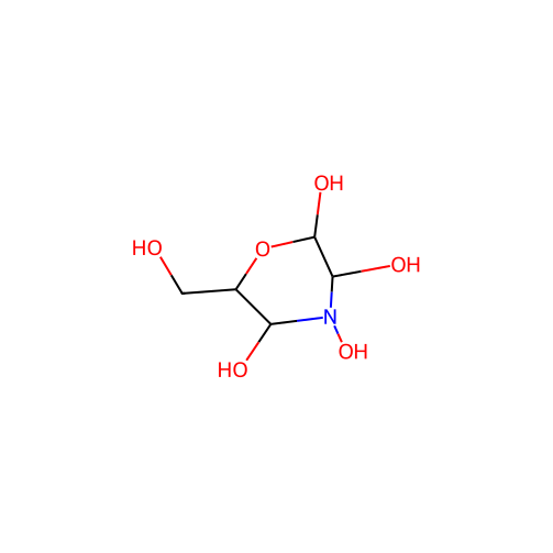 OCC1OC(O)C(O)N(O)C1O